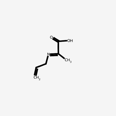 C=CC/N=C(\C)C(=O)O